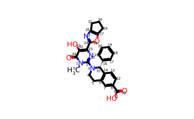 Cn1c(N2CCc3cc(C(=O)O)ccc3[C@H]2c2ccccc2)nc(-c2nc3c(o2)CCC3)c(O)c1=O